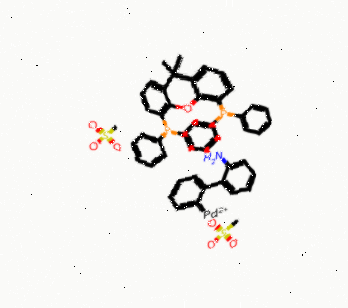 CC1(C)c2cccc(P(c3ccccc3)c3ccccc3)c2Oc2c(P(c3ccccc3)c3ccccc3)cccc21.CS(=O)(=O)[O-].CS(=O)(=O)[O-].Nc1ccccc1-c1cccc[c]1[Pd+2]